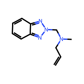 C=CCN(C)Cn1nc2ccccc2n1